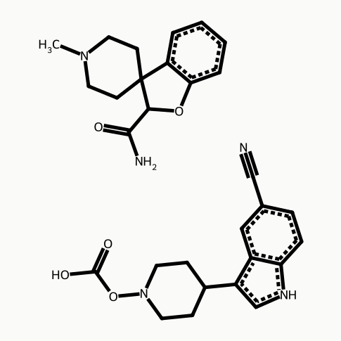 CN1CCC2(CC1)c1ccccc1OC2C(N)=O.N#Cc1ccc2[nH]cc(C3CCN(OC(=O)O)CC3)c2c1